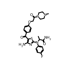 CC(C(N)=O)N(c1ccc(F)cc1)c1nc(N)c(C(=O)c2ccc(OCC(=O)N3CCN(C)CC3)cc2)s1